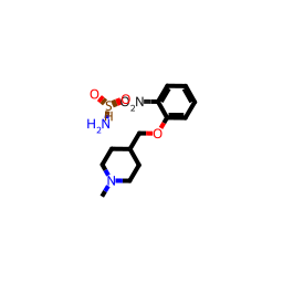 CN1CCC(COc2ccccc2[N+](=O)[O-])CC1.N[SH](=O)=O